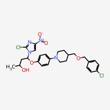 CC(O)CC(Oc1ccc(N2CCC(COCc3ccc(Cl)cc3)CC2)cc1)n1cc([N+](=O)[O-])nc1Cl